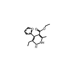 CCOC(=O)C1=C(C)NNC(CC)=C1c1ccco1